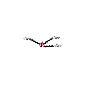 CCCCCCCCCCCCCCCCCCOC(C)C(CI)(OCCCCCCCCCCCCCCCCCC)OCCCCCCCCCCCCCCCCCC